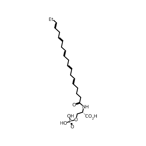 CCC=CCC=CCC=CCC=CCC=CCCCC(=O)N[C@@H](COP(=O)(O)O)C(=O)O